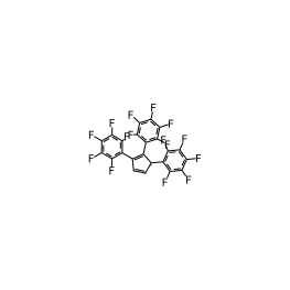 Fc1c(F)c(F)c([C]2C=CC(c3c(F)c(F)c(F)c(F)c3F)=C2c2c(F)c(F)c(F)c(F)c2F)c(F)c1F